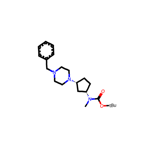 CN(C(=O)OC(C)(C)C)[C@H]1CC[C@@H](N2CCN(Cc3ccccc3)CC2)C1